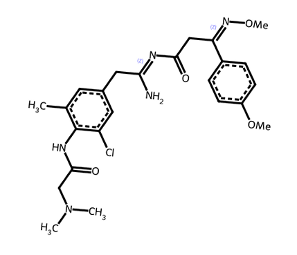 CO/N=C(/CC(=O)/N=C(\N)Cc1cc(C)c(NC(=O)CN(C)C)c(Cl)c1)c1ccc(OC)cc1